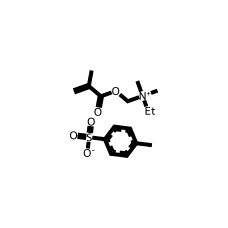 C=C(C)C(=O)OC[N+](C)(C)CC.Cc1ccc(S(=O)(=O)[O-])cc1